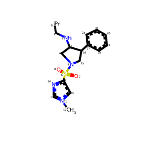 CC(C)CNC1CN(S(=O)(=O)c2cn(C)cn2)CC1c1ccccc1